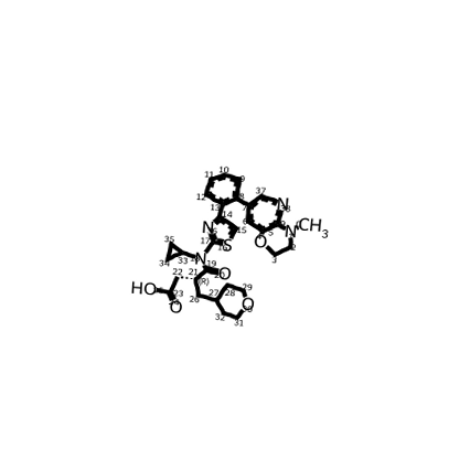 CN1CCOc2cc(-c3ccccc3-c3csc(N(C(=O)[C@@H](CC(=O)O)CC4CCOCC4)C4CC4)n3)cnc21